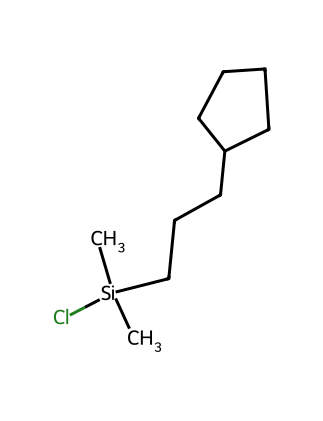 C[Si](C)(Cl)CCCC1CCCC1